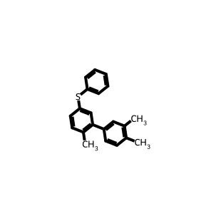 Cc1ccc(-c2cc(Sc3ccccc3)ccc2C)cc1C